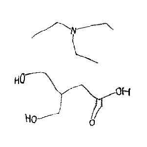 CCN(CC)CC.O=C(O)CC(CO)CO